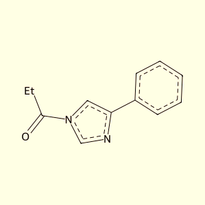 [CH2]CC(=O)n1cnc(-c2ccccc2)c1